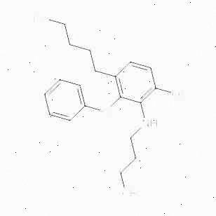 CCCCCc1ccc(O)c(NCCCC)c1Oc1ccccc1